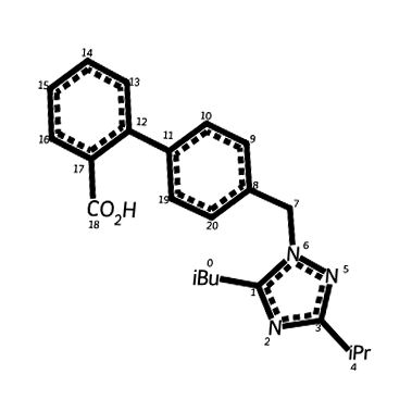 CCC(C)c1nc(C(C)C)nn1Cc1ccc(-c2ccccc2C(=O)O)cc1